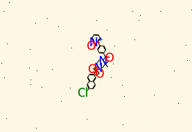 CC1(C)CN(S(=O)(=O)c2ccc3cc(Cl)ccc3c2)CCN1C(=O)c1ccc(-c2cccc[n+]2[O-])cc1